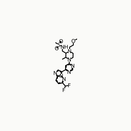 COCCN1CCN(c2cc(-c3cnc4ccc(C(F)F)nn34)ncn2)C(C)C1CNS(C)(=O)=O